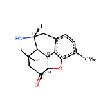 COc1ccc2c3c1O[C@H]1C(=O)CC45CN[C@H](C2)C4[C@@]31C5